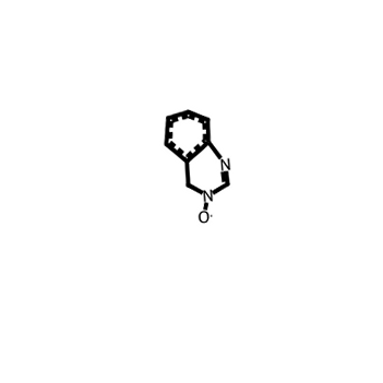 [O]N1C=Nc2ccccc2C1